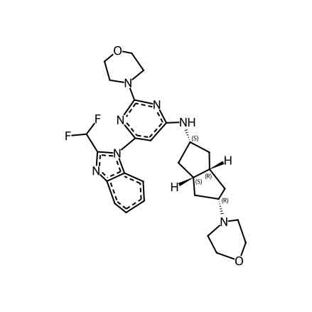 FC(F)c1nc2ccccc2n1-c1cc(N[C@@H]2C[C@@H]3C[C@H](N4CCOCC4)C[C@@H]3C2)nc(N2CCOCC2)n1